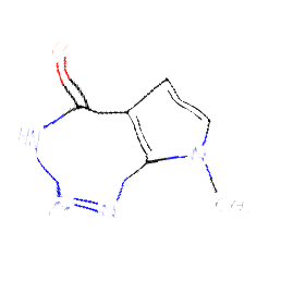 Cn1ccc2c(=O)[nH]nnc21